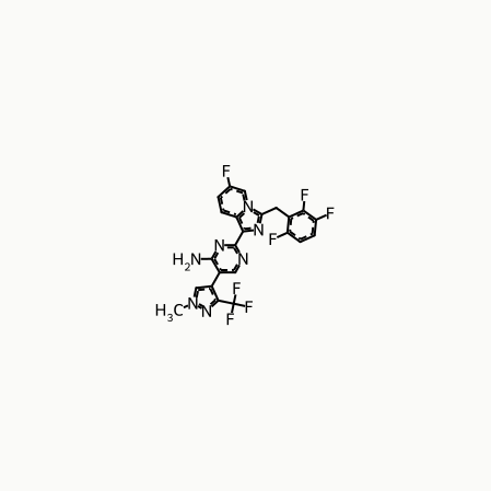 Cn1cc(-c2cnc(-c3nc(Cc4c(F)ccc(F)c4F)n4cc(F)ccc34)nc2N)c(C(F)(F)F)n1